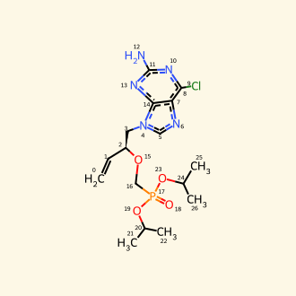 C=C[C@@H](Cn1cnc2c(Cl)nc(N)nc21)OCP(=O)(OC(C)C)OC(C)C